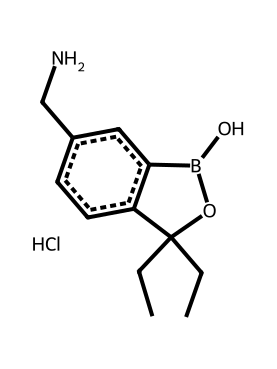 CCC1(CC)OB(O)c2cc(CN)ccc21.Cl